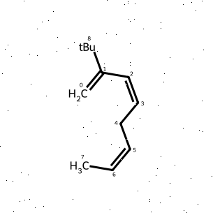 C=C(/C=C\C/C=C\C)C(C)(C)C